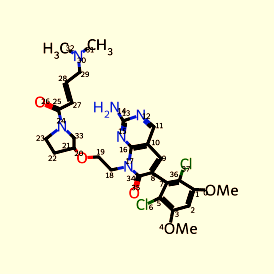 COc1cc(OC)c(Cl)c(-c2cc3cnc(N)nc3n(CCOC3CCN(C(=O)C=CCN(C)C)C3)c2=O)c1Cl